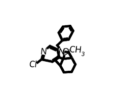 COC1(c2ccnc(Cl)c2)C2CCCC1CN(Cc1ccccc1)C2